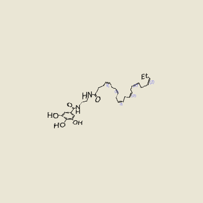 CC/C=C\C/C=C\C/C=C\C/C=C\C/C=C\C/C=C\CCC(=O)NCCNC(=O)c1cc(O)c(O)c(O)c1